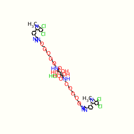 CN1Cc2c(Cl)cc(Cl)cc2[C@@H](c2cccc(-c3cn(CCOCCOCCOCCOCCOCCNC(=O)[C@H](O)[C@@H](O)[C@@H](O)[C@H](O)C(=O)NCCOCCOCCOCCOCCOCCn4cc(-c5cccc([C@@H]6CN(C)Cc7c(Cl)cc(Cl)cc76)c5)nn4)nn3)c2)C1.Cl